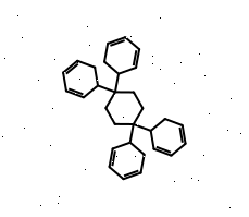 C1=CCC(C2(C3C=CC=CC3)CCC(C3C=CC=CC3)(C3C=CC=CC3)CC2)C=C1